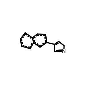 C1=NCC=C1c1ccc2ccccc2c1